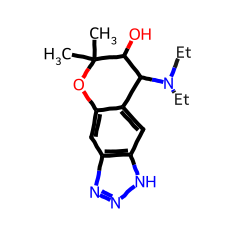 CCN(CC)C1c2cc3[nH]nnc3cc2OC(C)(C)C1O